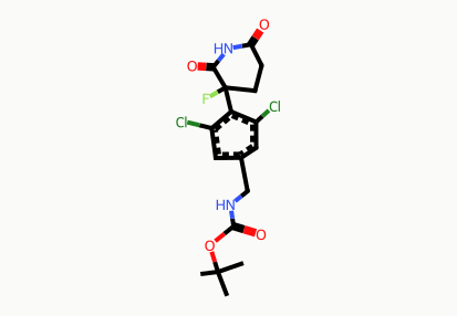 CC(C)(C)OC(=O)NCc1cc(Cl)c(C2(F)CCC(=O)NC2=O)c(Cl)c1